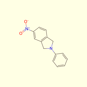 O=[N+]([O-])c1ccc2c(c1)CN(c1ccccc1)C2